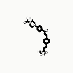 CC(=O)N1CCN(c2ccc(C(=O)C=Cc3ccc(C=CC(=O)NO)cc3)cc2)CC1